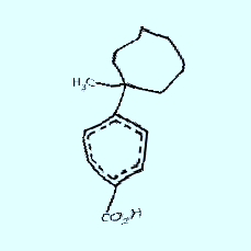 CC1(c2ccc(C(=O)O)cc2)CCCCC1